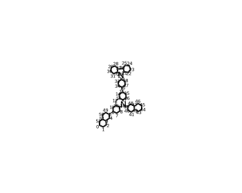 c1ccc2cc(-c3ccc4c(c3)Cc3cc(-c5ccc(-n6c7ccccc7c7ccccc76)cc5)ccc3N4c3ccc4ccccc4c3)ccc2c1